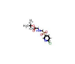 CC(C)(C)OC(=O)CNCS(=O)(=O)c1ccc(Cl)nc1